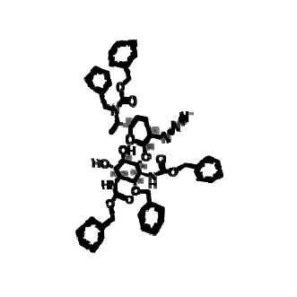 CC([C@@H]1CC[C@@H](N=[N+]=[N-])[C@@H](O[C@H]2[C@H](O)[C@@H](O)[C@H](NC(=O)OCc3ccccc3)[C@@H](OCc3ccccc3)[C@@H]2NC(=O)OCc2ccccc2)O1)N(Cc1ccccc1)C(=O)OCc1ccccc1